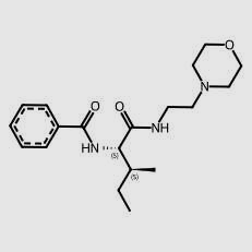 CC[C@H](C)[C@H](NC(=O)c1ccccc1)C(=O)NCCN1CCOCC1